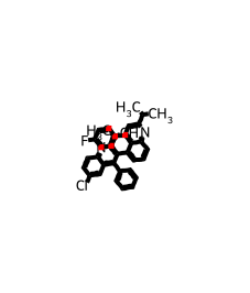 CC(C)c1[c]c(-c2ccc(F)cc2)c2c(-c3c(C(C)C)nc4ccc(Cl)cc4c3-c3ccccc3)cccc2n1